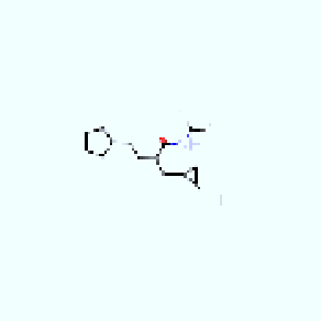 CC(C)NC(=O)C(CCC1CCCC1)CC1CC1C